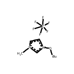 CCC(C)O[n+]1ccn(C)c1.F[P-](F)(F)(F)(F)F